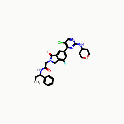 CCC(NC(=O)CN1Cc2c(F)cc(-c3nc(NC4CCOCC4)ncc3Cl)cc2C1=O)c1ccccc1